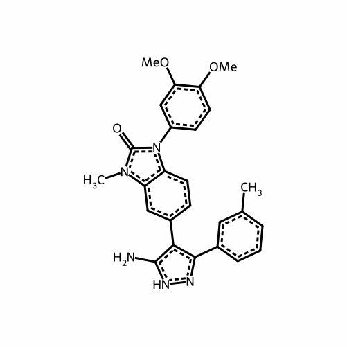 COc1ccc(-n2c(=O)n(C)c3cc(-c4c(-c5cccc(C)c5)n[nH]c4N)ccc32)cc1OC